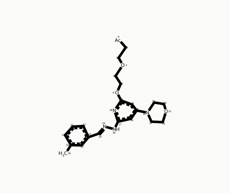 CC(=O)CCOCCOc1cc(N2CCOCC2)cc(NN=Cc2cccc(C)c2)n1